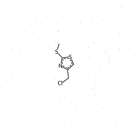 CSc1nc(CCl)cs1